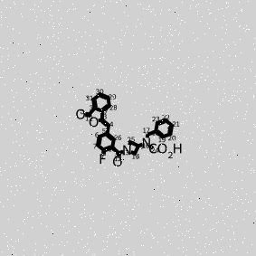 O=C1O/C(=C\c2ccc(F)c(C(=O)N3CC(N(Cc4ccccc4)C(=O)O)C3)c2)c2ccccc21